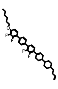 C=CCCC1CCC(C2CC=C(c3ccc(-c4ccc(-c5ccc(OCCCCCC)c(F)c5F)cc4)c(F)c3F)CC2)CC1